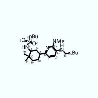 CCCCS(=O)(=O)NC1CC(c2ccc(NCC(C)(C)C)c(NC)n2)CCC1(C)C